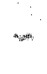 Oc1cc(-n2cccn2)ccc1-c1ccc(O[C@H]2C[C@H]3CC[C@@H](C2)N3)nn1